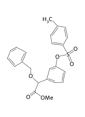 COC(=O)C(OCc1ccccc1)c1cccc(OS(=O)(=O)c2ccc(C)cc2)c1